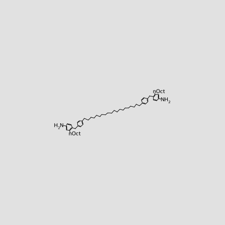 CCCCCCCCc1cc(N)ccc1Cc1ccc(CCCCCCCCCCCCCCCCCCCCc2ccc(Cc3ccc(N)cc3CCCCCCCC)cc2)cc1